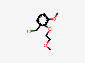 COCCOc1c(CCl)cccc1OC